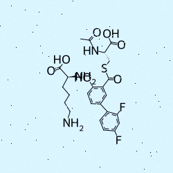 CC(=O)N[C@@H](CSC(=O)c1cc(-c2ccc(F)cc2F)ccc1O)C(=O)O.NCCCC[C@H](N)C(=O)O